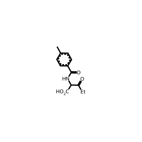 CCC(=O)C(NC(=O)c1ccc(C)cc1)C(=O)O